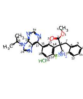 COC(=O)C(CN)(Cc1ccccc1)c1cc(-c2ncnc3c2ncn3C(C)C)ccc1F.Cl